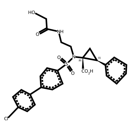 O=C(CO)NCCN([C@]1(C(=O)O)C[C@H]1c1ccccc1)S(=O)(=O)c1ccc(-c2ccc(Cl)cc2)cc1